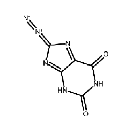 [N-]=[N+]=C1N=c2[nH]c(=O)[nH]c(=O)c2=N1